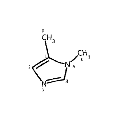 Cc1cn[c]n1C